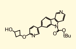 CC(C)(C)OC(=O)n1c2ccncc2c2ccc(-c3ccc(OC4CC(O)C4)nc3)cc21